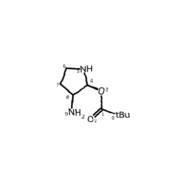 CC(C)(C)C(=O)OC1NCCC1N